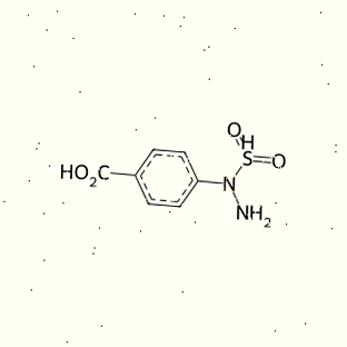 NN(c1ccc(C(=O)O)cc1)[SH](=O)=O